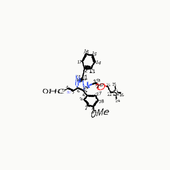 COc1ccc(-c2c(/C=C/C=O)nc(-c3ccccc3)n2COCC[Si](C)(C)C)cc1